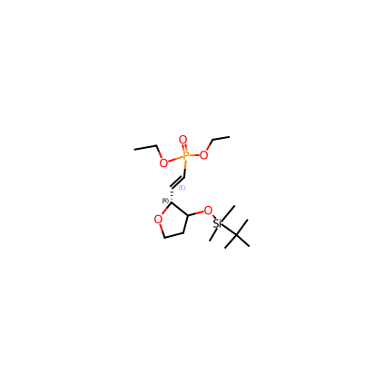 CCOP(=O)(/C=C/[C@H]1OCCC1O[Si](C)(C)C(C)(C)C)OCC